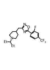 CCC(CC)N1CCC(Cc2noc(-c3ccc(C(F)(F)F)cc3F)n2)CC1